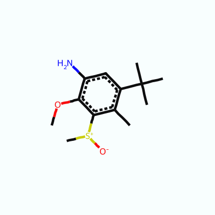 COc1c(N)cc(C(C)(C)C)c(C)c1[S+](C)[O-]